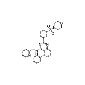 O=S(=O)(c1cccc(-c2nc(NCc3ccccn3)c3c(-c4ccccc4)cccc3n2)c1)N1CCOCC1